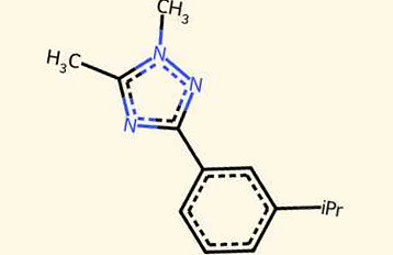 Cc1nc(-c2cccc(C(C)C)c2)nn1C